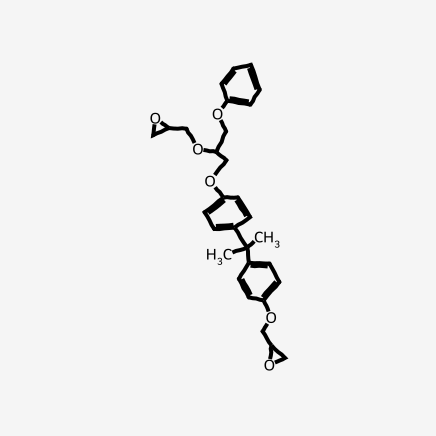 CC(C)(c1ccc(OCC(COc2ccccc2)OCC2CO2)cc1)c1ccc(OCC2CO2)cc1